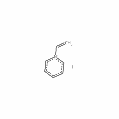 C=C[n+]1ccccc1.[I-]